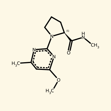 CNC(=O)[C@@H]1CCCN1c1nc(C)cc(OC)n1